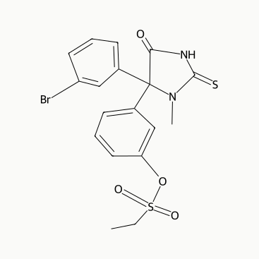 CCS(=O)(=O)Oc1cccc(C2(c3cccc(Br)c3)C(=O)NC(=S)N2C)c1